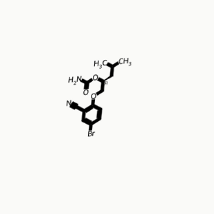 CC(C)C[C@@H](COc1ccc(Br)cc1C#N)OC(N)=O